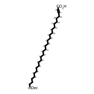 CCCCCCCCCCCCCCCCCCCCCCCCCCCCCCCCCCCCC#CC(=O)O